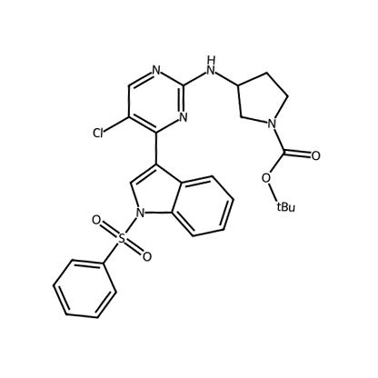 CC(C)(C)OC(=O)N1CCC(Nc2ncc(Cl)c(-c3cn(S(=O)(=O)c4ccccc4)c4ccccc34)n2)C1